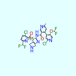 Cc1cc(-c2cc(Cl)ncc2OC(F)F)c(C(=O)NC2=NC3=C(CNC3)[SH]2C(=O)c2nc(C(F)F)ccc2Cl)cn1